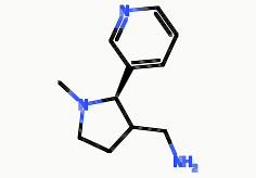 CN1CCC(CN)[C@@H]1c1cccnc1